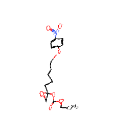 CCOC(=O)OC1(CCCCCOc2ccc([N+](=O)[O-])cc2)CO1